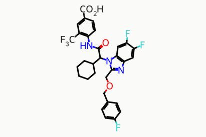 O=C(O)c1ccc(NC(=O)C(C2CCCCC2)n2c(COCc3ccc(F)cc3)nc3cc(F)c(F)cc32)c(C(F)(F)F)c1